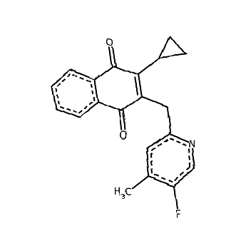 Cc1cc(CC2=C(C3CC3)C(=O)c3ccccc3C2=O)ncc1F